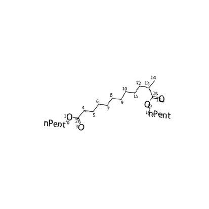 CCCCCOC(=O)CCCCCCCCCC(C)C(=O)OCCCCC